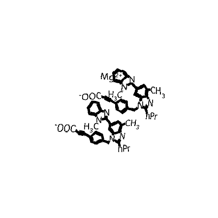 CCCc1nc2c(C)cc(-c3nc4ccccc4n3C)cc2n1Cc1ccc(C#CC(=O)[O-])cc1.CCCc1nc2c(C)cc(-c3nc4ccccc4n3C)cc2n1Cc1ccc(C#CC(=O)[O-])cc1.[Mg+2]